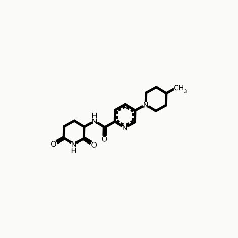 CC1CCN(c2ccc(C(=O)NC3CCC(=O)NC3=O)nc2)CC1